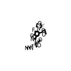 C[C@@H]1CN(c2c(C3OCCO3)cc3c(N4C(=O)OC[C@@H]4CN=[N+]=[N-])noc3c2F)CCO1